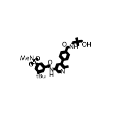 CNS(=O)(=O)c1cc(C(=O)Nc2cnc(C)c(-c3ccc(C(=O)NCC(C)(C)CO)cc3)c2)cc(C(C)(C)C)c1